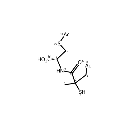 CC(=O)CC(C)(S)C(=O)N[C@@H](CSC(C)=O)C(=O)O